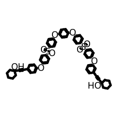 O=S(=O)(c1ccc(Oc2ccc(C#CC3(O)CCCCC3)cc2)cc1)c1ccc(Oc2ccc(Oc3ccc(S(=O)(=O)c4ccc(Oc5cccc(C#CC6(O)CCCCC6)c5)cc4)cc3)cc2)cc1